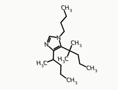 CCCCn1cnc(C(C)CCC)c1C(C)(C)CCC